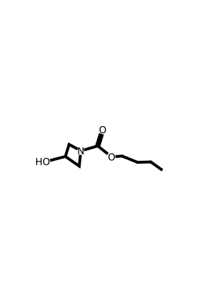 CCCCOC(=O)N1CC(O)C1